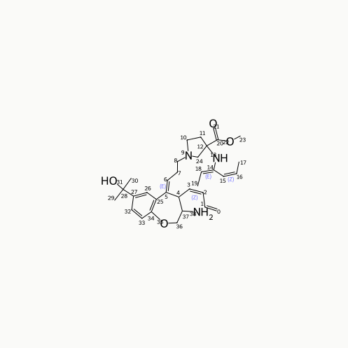 C=C/C=C\C1/C(=C\CCN2CCC(NC(/C=C\C)=C/C)(C(=O)OC)C2)c2cc(C(C)(C)O)ccc2OCC1N